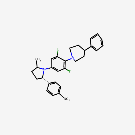 CC1CC[C@@H](c2ccc([N+](=O)[O-])cc2)N1c1cc(F)c(N2CCC(c3ccccc3)CC2)c(F)c1